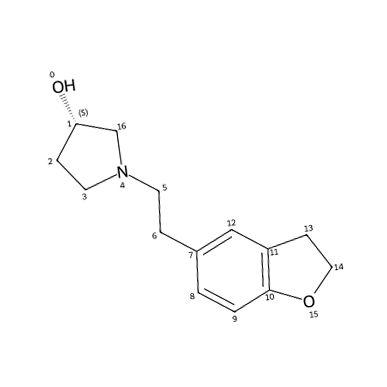 O[C@H]1CCN(CCc2ccc3c(c2)CCO3)C1